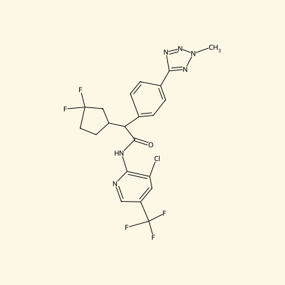 Cn1nnc(-c2ccc(C(C(=O)Nc3ncc(C(F)(F)F)cc3Cl)C3CCC(F)(F)C3)cc2)n1